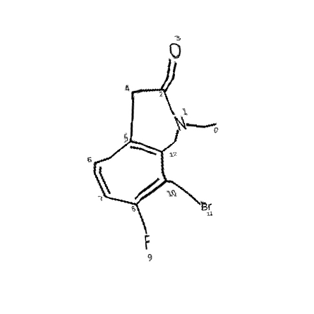 CN1C(=O)Cc2ccc(F)c(Br)c21